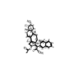 CC(=O)O[C@H]1C[C@@]2(C)[C@H](/C1=C(/C(=O)O)c1ccc3ccccc3c1)[C@@H](N)C[C@H]1[C@@]3(C)CC[C@@H](O)[C@@H](C)[C@@H]3CC[C@@]12C